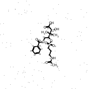 CC(=O)NCCCS(=O)(=O)OC(COC(=O)c1ccccc1)C(C)(C)[C@@H](O)C(=O)O